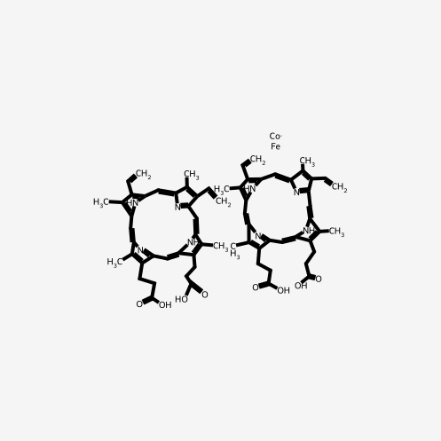 C=CC1=C(C)c2cc3[nH]c(cc4nc(cc5[nH]c(cc1n2)c(C)c5CCC(=O)O)C(CCC(=O)O)=C4C)c(C)c3C=C.C=CC1=C(C)c2cc3[nH]c(cc4nc(cc5[nH]c(cc1n2)c(C)c5CCC(=O)O)C(CCC(=O)O)=C4C)c(C)c3C=C.[Co].[Fe]